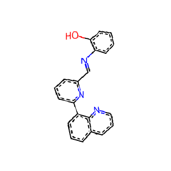 Oc1ccccc1/N=C/c1cccc(-c2cccc3cccnc23)n1